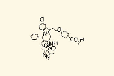 Cc1nn(C)c(C)c1S(=O)(=O)NCCc1c(CCOc2ccc(C(=O)O)cc2)c2cc(Cl)ccc2n1C(c1ccccc1)c1ccccc1